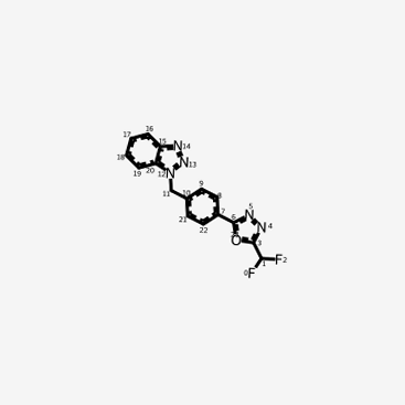 FC(F)c1nnc(-c2ccc(Cn3nnc4ccccc43)cc2)o1